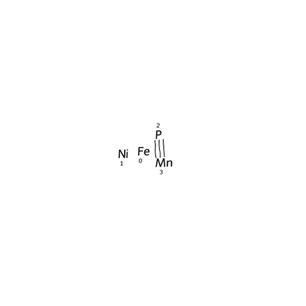 [Fe].[Ni].[P]#[Mn]